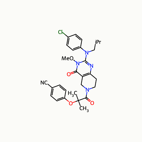 COn1c(N(CC(C)C)c2ccc(Cl)cc2)nc2c(c1=O)CN(C(=O)C(C)(C)Oc1ccc(C#N)cc1)CC2